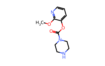 COc1ncccc1OC(=O)N1CCNCC1